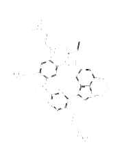 C=CC(=O)Nc1cc(Nc2ncc(CCCOC)c(-c3cn4c5c(cccc35)CCC4)n2)c(OC)cc1N(C)CCN(C)C